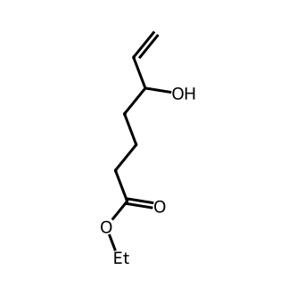 C=CC(O)CCCC(=O)OCC